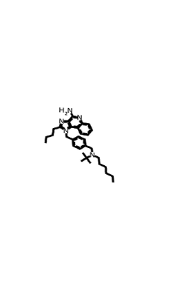 CCCCCCN(Cc1ccc(Cn2c(CCCC)nc3c(N)nc4ccccc4c32)cc1)C(C)(C)C